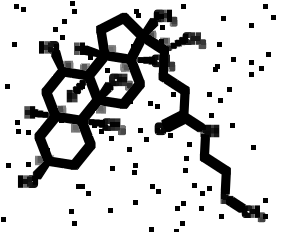 CSCCNC(=O)CC[C@@H](C)[C@@]1(C)CC[C@H]2[C@@H]3[C@H](O)C[C@@H]4C[C@H](O)CC[C@]4(C)[C@@]3(C)CC[C@@]21C